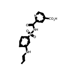 CC=CNc1cccc(S(=O)(=O)NC(=O)c2cc(C(=O)O)ccn2)c1